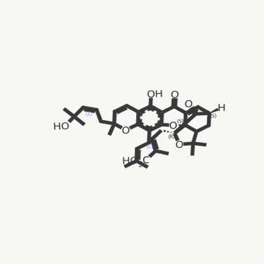 CC(C)=CCc1c2c(c(O)c3c1O[C@]14C(=C[C@@H]5CC1C(C)(C)O[C@@]4(C/C=C(\C)C(=O)O)C5=O)C3=O)C=CC(C)(C/C=C\C(C)(C)O)O2